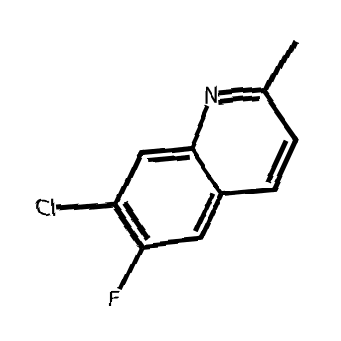 Cc1ccc2cc(F)c(Cl)cc2n1